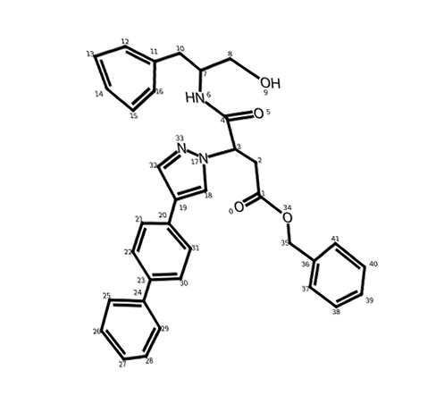 O=C(CC(C(=O)NC(CO)Cc1ccccc1)n1cc(-c2ccc(-c3ccccc3)cc2)cn1)OCc1ccccc1